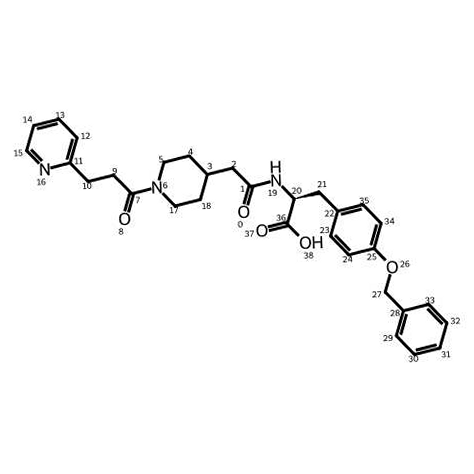 O=C(CC1CCN(C(=O)CCc2ccccn2)CC1)N[C@@H](Cc1ccc(OCc2ccccc2)cc1)C(=O)O